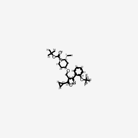 CC[C@@H]1C[C@H](OCc2c(-c3ccccc3OC(F)(F)F)noc2C2CC2)CCN1C(=O)OC(C)(C)C